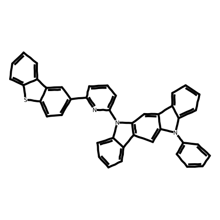 c1ccc(-n2c3ccccc3c3cc4c(cc32)c2ccccc2n4-c2cccc(-c3ccc4sc5ccccc5c4c3)n2)cc1